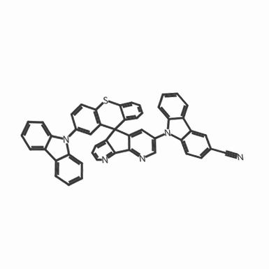 N#Cc1ccc2c(c1)c1ccccc1n2-c1cnc2c(c1)C1(c3ccccc3Sc3ccc(-n4c5ccccc5c5ccccc54)cc31)c1cccnc1-2